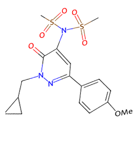 COc1ccc(-c2cc(N(S(C)(=O)=O)S(C)(=O)=O)c(=O)n(CC3CC3)n2)cc1